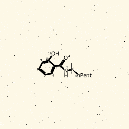 CCCCCNNC(=O)c1ccccc1O